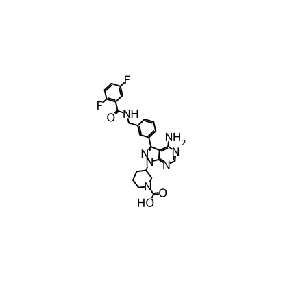 Nc1ncnc2c1c(-c1cccc(CNC(=O)c3cc(F)ccc3F)c1)nn2[C@@H]1CCCN(C(=O)O)C1